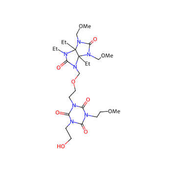 CCN1C(=O)N(COCCn2c(=O)n(CCO)c(=O)n(CCOC)c2=O)C2(CC)N(COC)C(=O)N(COC)C12CC